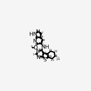 COc1nc2[nH]ncc2cc1Nc1ncnc2sc3c(c12)CC[C@H](C)C3